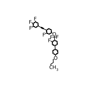 CCCCOc1ccc(-c2ccc(C(F)(F)Oc3ccc(C#Cc4cc(F)c(F)c(F)c4)c(F)c3)c(F)c2)cc1